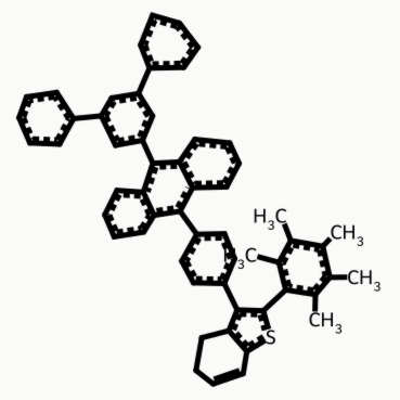 Cc1c(C)c(C)c(-c2sc3c(c2-c2ccc(-c4c5ccccc5c(-c5cc(-c6ccccc6)cc(-c6ccccc6)c5)c5ccccc45)cc2)CCC=C3)c(C)c1C